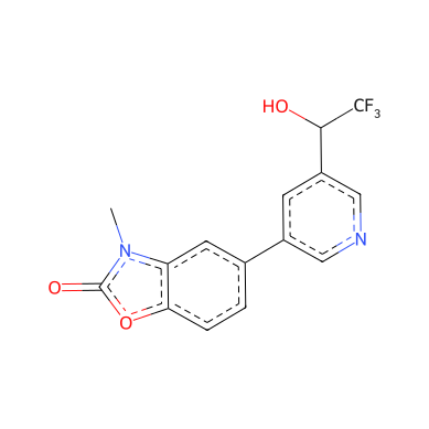 Cn1c(=O)oc2ccc(-c3cncc(C(O)C(F)(F)F)c3)cc21